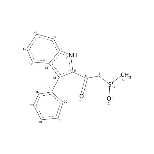 C[S+]([O-])CC(=O)c1[nH]c2ccccc2c1-c1ccccc1